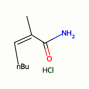 CCCCC=C(C)C(N)=O.Cl